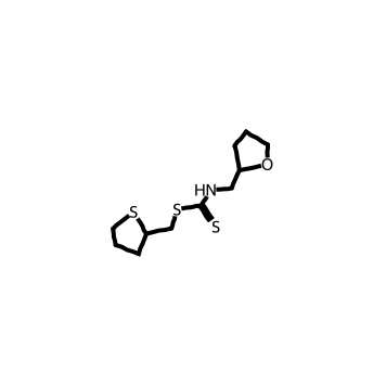 S=C(NCC1CCCO1)SCC1CCCS1